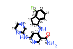 NC(=O)c1cnc(Nc2cnccn2)cc1NC1CCc2c(F)cccc21